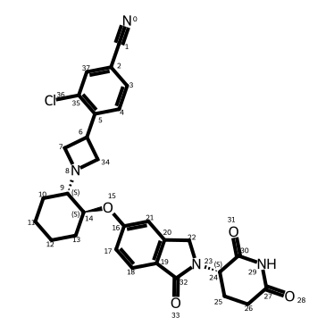 N#Cc1ccc(C2CN([C@H]3CCCC[C@@H]3Oc3ccc4c(c3)CN([C@H]3CCC(=O)NC3=O)C4=O)C2)c(Cl)c1